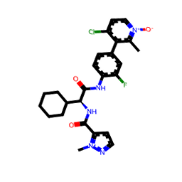 Cc1c(-c2ccc(NC(=O)[C@@H](NC(=O)c3ccnn3C)C3CCCCC3)c(F)c2)c(Cl)cc[n+]1[O-]